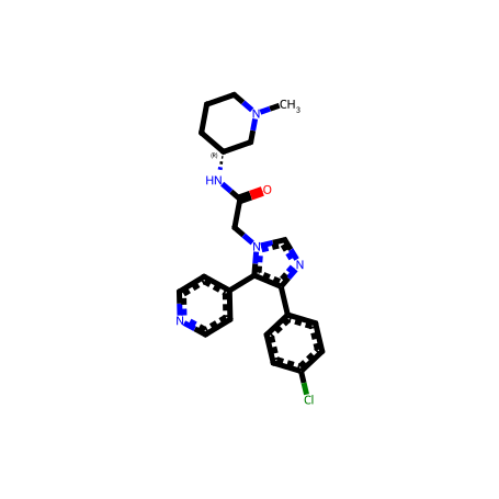 CN1CCC[C@@H](NC(=O)Cn2cnc(-c3ccc(Cl)cc3)c2-c2ccncc2)C1